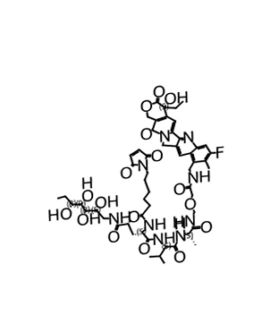 CC[C@@H](O)[C@@H](O)[C@H](O)[C@@H](O)CNC(=O)CC[C@H](NC(=O)CCCCCN1C(=O)C=CC1=O)C(=O)N[C@H](C(=O)N[C@@H](C)C(=O)NCOCC(=O)NCc1c(C)c(F)cc2nc3c(cc12)Cn1c-3cc2c(c1=O)COC(=O)[C@]2(O)CC)C(C)C